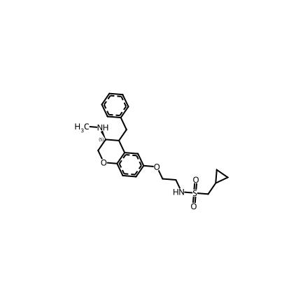 CN[C@@H]1COc2ccc(OCCNS(=O)(=O)CC3CC3)cc2C1Cc1ccccc1